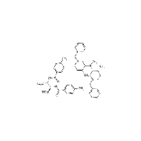 CC1CCN(Cc2ccccc2)CC1N(C)[C@H]1CN(Cc2ccccc2)CC[C@H]1C.Cc1ccc(C(=O)O[C@@H](C(=O)O)[C@@H](OC(=O)c2ccc(C)cc2)C(=O)O)cc1